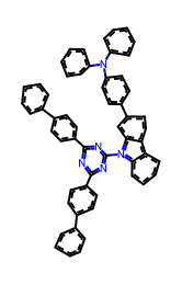 c1ccc(-c2ccc(-c3nc(-c4ccc(-c5ccccc5)cc4)nc(-n4c5ccccc5c5ccc(-c6ccc(N(c7ccccc7)c7ccccc7)cc6)cc54)n3)cc2)cc1